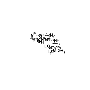 COc1cc(Nc2cnc3ccc(NC(=O)N(S)C4CCNCC4F)nc3n2)cc(OC)c1OC